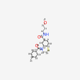 COCCCNC(=O)c1ccc2c(c1)N(C(=O)c1ccc(C)cc1)CCS2